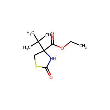 CCOC(=O)C1(C(C)(C)C)CSC(=O)N1